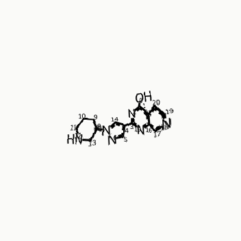 Oc1nc(-c2cnn([C@@H]3CCCNC3)c2)nc2cnccc12